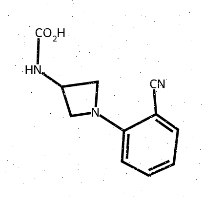 N#Cc1ccccc1N1CC(NC(=O)O)C1